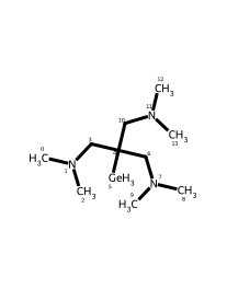 CN(C)C[C]([GeH3])(CN(C)C)CN(C)C